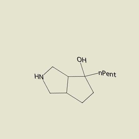 CCCCCC1(O)CCC2CNCC21